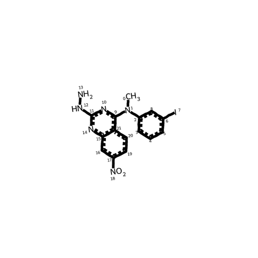 CN(c1cccc(I)c1)c1nc(NN)nc2cc([N+](=O)[O-])ccc12